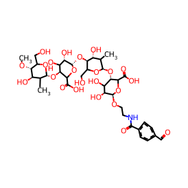 CO[C@@H]1C(CO)O[C@H](O[C@@H]2C(C(=O)O)O[C@@H](O[C@@H]3C(CO)O[C@H](O[C@@H]4C(C(=O)O)O[C@@H](OCCNC(=O)c5ccc(C=O)cc5)[C@@H](O)C4O)C(C)[C@H]3O)[C@@H](O)C2O)C(C)[C@H]1O